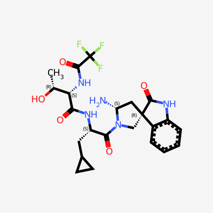 C[C@@H](O)[C@H](NC(=O)C(F)(F)F)C(=O)N[C@@H](CC1CC1)C(=O)N1C[C@]2(C[C@H]1N)C(=O)Nc1ccccc12